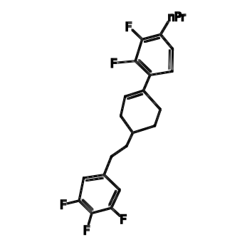 CCCc1ccc(C2=CCC(CCc3cc(F)c(F)c(F)c3)CC2)c(F)c1F